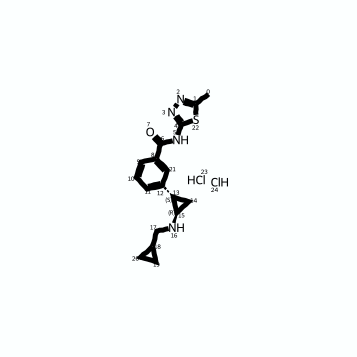 Cc1nnc(NC(=O)c2cccc([C@@H]3C[C@H]3NCC3CC3)c2)s1.Cl.Cl